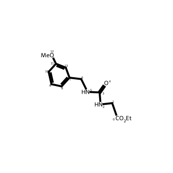 CCOC(=O)CNC(=O)NCc1cccc(OC)c1